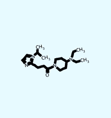 CCN(CC)C1CCN(C(=O)CCc2nccn2C(C)C)CC1